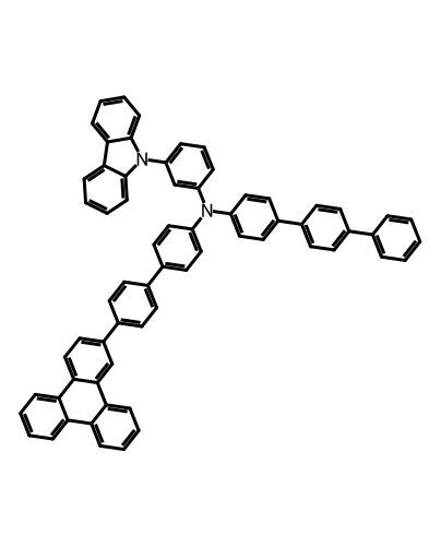 c1ccc(-c2ccc(-c3ccc(N(c4ccc(-c5ccc(-c6ccc7c8ccccc8c8ccccc8c7c6)cc5)cc4)c4cccc(-n5c6ccccc6c6ccccc65)c4)cc3)cc2)cc1